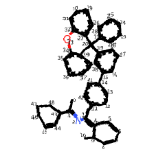 C/C(=N\C(=C1\C=CC=CC1C)c1ccc(-c2cccc(C3(c4ccccc4)c4ccccc4Oc4ccccc43)c2)cc1)C1C=CCCC1